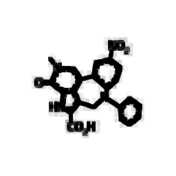 Cn1cc2c3c(c(C(=O)O)[nH]c3c1=O)CN(c1ccccc1)c1ccc([N+](=O)[O-])cc1-2